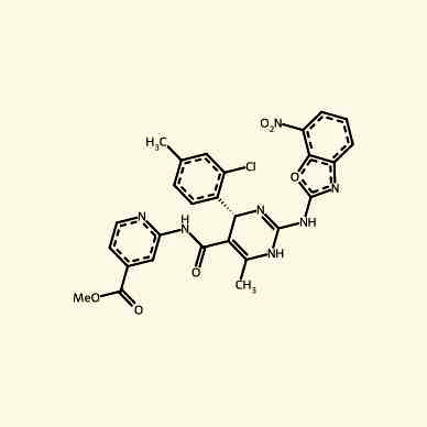 COC(=O)c1ccnc(NC(=O)C2=C(C)NC(Nc3nc4cccc([N+](=O)[O-])c4o3)=N[C@H]2c2ccc(C)cc2Cl)c1